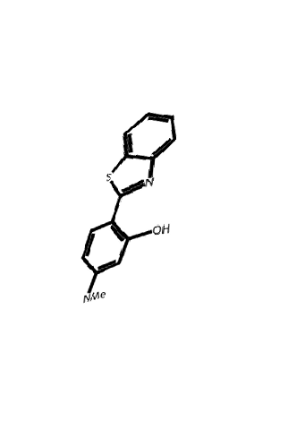 CNc1ccc(-c2nc3ccccc3s2)c(O)c1